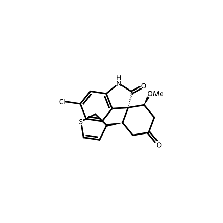 CO[C@H]1CC(=O)C[C@@H](C2C=CSC2)[C@]12C(=O)Nc1cc(Cl)ccc12